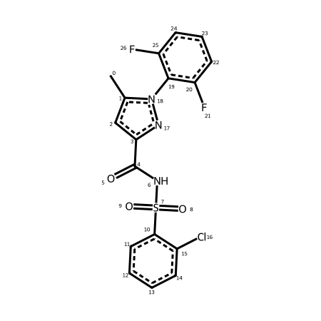 Cc1cc(C(=O)NS(=O)(=O)c2ccccc2Cl)nn1-c1c(F)cccc1F